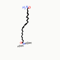 CCCCCCCCCCN(CCCCCCCCCC)C(=O)CCCCCCCCC#CC#CCCCCCCCCC(N)=O